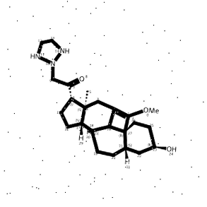 COC1=C2C[C@]3(C)[C@@H](C(=O)CN4NCCN4)CC[C@H]3[C@@H]3CC[C@H]4C[C@H](O)CC[C@@]14C23